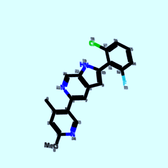 COc1cc(C)c(-c2cc3cc(-c4c(F)cccc4Cl)[nH]c3cn2)cn1